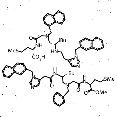 CC[C@H](C)[C@@H](CN(CC(=O)N[C@@H](CCSC)C(=O)O)Cc1cccc2ccccc12)NCCc1cncn1Cc1ccc2ccccc2c1.CC[C@H](C)[C@@H](CN(CC(=O)N[C@@H](CCSC)C(=O)OC)Cc1ccccc1)NC(=O)Cc1cncn1Cc1ccc2ccccc2c1